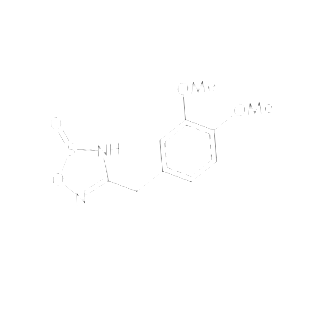 COc1ccc(CC2=NOS(=O)N2)cc1OC